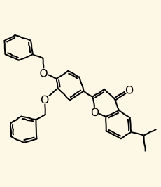 CC(C)c1ccc2oc(-c3ccc(OCc4ccccc4)c(OCc4ccccc4)c3)cc(=O)c2c1